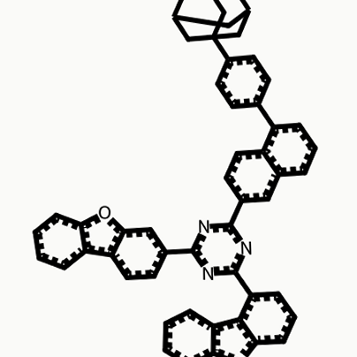 c1cc(-c2ccc(C34CC5CC(CC(C5)C3)C4)cc2)c2ccc(-c3nc(-c4ccc5c(c4)oc4ccccc45)nc(-c4cccc5oc6ccccc6c45)n3)cc2c1